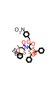 C[C@H](O[Si](C)(C)C(C)(C)C)[C@@H]1C(=O)N(C(C(=O)OCc2ccc([N+](=O)[O-])cc2)=C(SC(=O)c2ccccc2)SC(=O)c2ccccc2)[C@H]1Sc1ccccc1